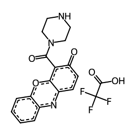 O=C(O)C(F)(F)F.O=C(c1c2oc3ccccc3nc-2ccc1=O)N1CCNCC1